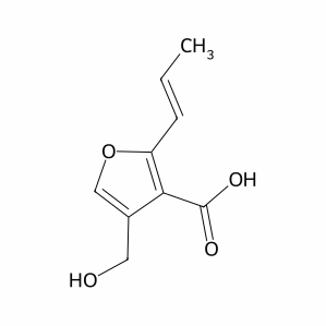 CC=Cc1occ(CO)c1C(=O)O